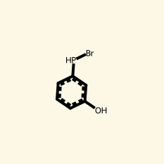 Oc1cccc(PBr)c1